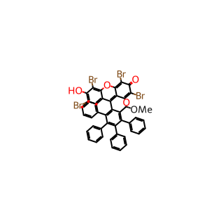 COC(=O)c1c(-c2ccccc2)c(-c2ccccc2)c(-c2ccccc2)c(-c2ccccc2)c1-c1c2cc(Br)c(=O)c(Br)c-2oc2c(Br)c(O)c(Br)cc12